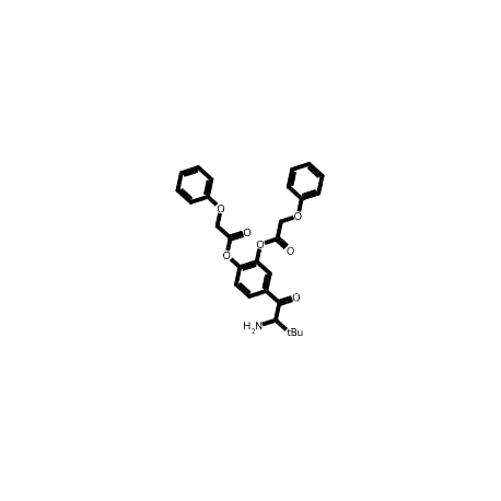 CC(C)(C)C(N)C(=O)c1ccc(OC(=O)COc2ccccc2)c(OC(=O)COc2ccccc2)c1